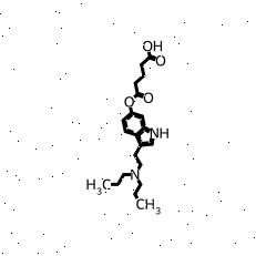 CCCN(CCC)CCc1c[nH]c2cc(OC(=O)CCCC(=O)O)ccc12